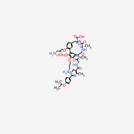 Cc1nc(-c2ccc(OC(C)C)cc2)ncc1C(=O)NCC(=O)N(C)[C@@H]1C(=O)N[C@@H](C)C(=O)N[C@H](C(=O)O)Cc2ccc(OC[C@H](O)CN)c(c2)-c2cc1cc(OCCCN)c2O